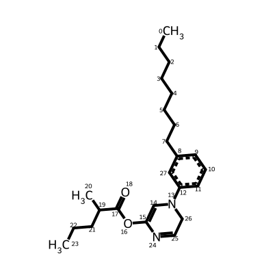 CCCCCCCCc1cccc(N2C=C(OC(=O)C(C)CCC)N=CC2)c1